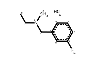 CCN([SiH3])Cc1cccc(F)c1.Cl